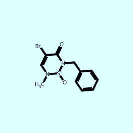 CN1C=C(Br)C(=O)N(Cc2ccccc2)[S+]1[O-]